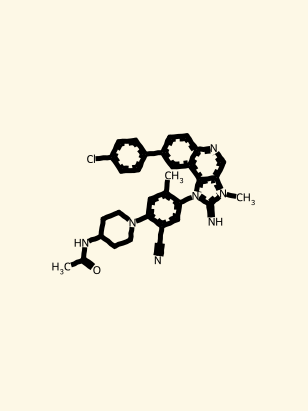 CC(=O)NC1CCN(c2cc(C)c(-n3c(=N)n(C)c4cnc5ccc(-c6ccc(Cl)cc6)cc5c43)cc2C#N)CC1